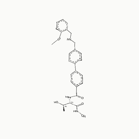 COc1ccccc1CNCc1ccc(-c2ccc(C(=O)N[C@H](C(=O)NO)[C@@H](C)O)cc2)cc1